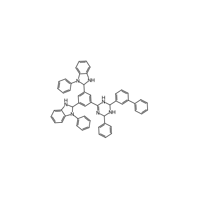 c1ccc(-c2cccc(C3NC(c4cc(C5Nc6ccccc6N5c5ccccc5)cc(C5Nc6ccccc6N5c5ccccc5)c4)=NC(c4ccccc4)N3)c2)cc1